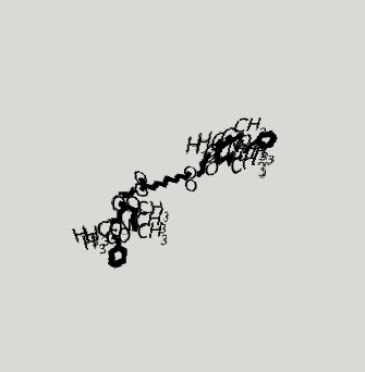 CCC1(C)CC2(OCC(COC(=O)CCCCCCC(=O)OCC3COC4(CC(C)(CC)N(OC(C)c5ccccc5)C(C)(CC)C4C)O3)O2)C(C)C(C)(CC)N1OC(C)c1ccccc1